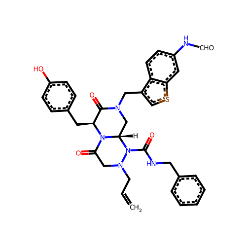 C=CCN1CC(=O)N2[C@@H](Cc3ccc(O)cc3)C(=O)N(Cc3csc4cc(NC=O)ccc34)C[C@@H]2N1C(=O)NCc1ccccc1